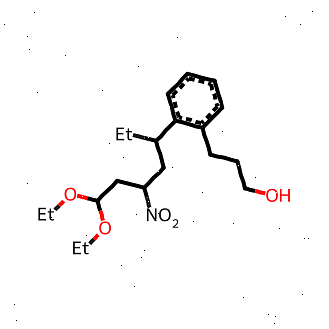 CCOC(CC(CC(CC)c1ccccc1CCCO)[N+](=O)[O-])OCC